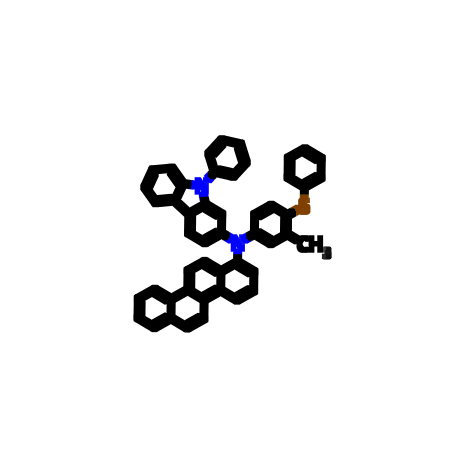 Cc1cc(N(c2ccc3c4ccccc4n(-c4ccccc4)c3c2)c2cccc3c2ccc2c4ccccc4ccc32)ccc1Sc1ccccc1